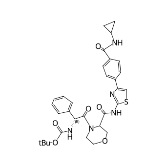 CC(C)(C)OC(=O)N[C@@H](C(=O)N1CCOCC1C(=O)Nc1nc(-c2ccc(C(=O)NC3CC3)cc2)cs1)c1ccccc1